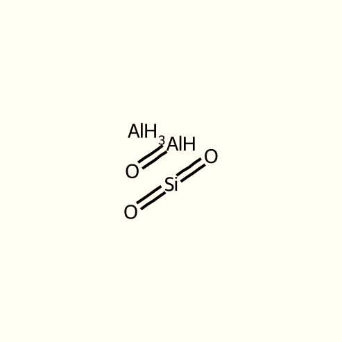 O=[Si]=O.[AlH3].[O]=[AlH]